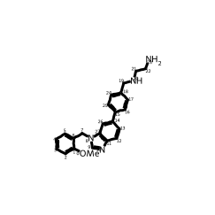 COc1ccccc1Cn1cnc2ccc(-c3ccc(CNCCN)cc3)cc21